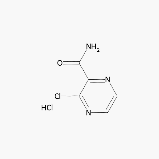 Cl.NC(=O)c1nccnc1Cl